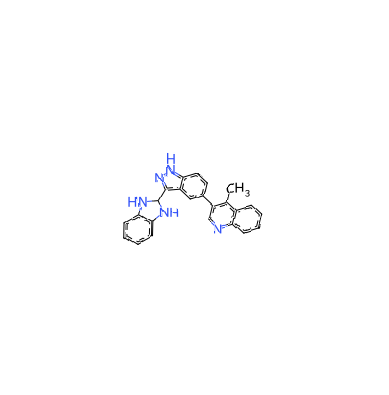 Cc1c(-c2ccc3[nH]nc(C4Nc5ccccc5N4)c3c2)cnc2ccccc12